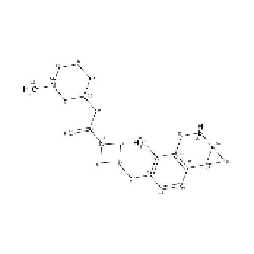 Cc1c(CC2CN(C(=O)CC3CCCN(C)C3)C2)ccc2c1CBC1CC21